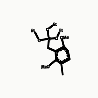 CCO[Si](Cc1c(OC)ccc(C)c1OC)(OCC)OCC